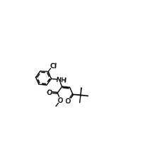 COC(=O)C(=CC(=O)C(C)(C)C)Nc1ccccc1Cl